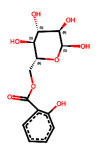 O=C(OC[C@H]1O[C@H](O)[C@H](O)[C@@H](O)[C@@H]1O)c1ccccc1O